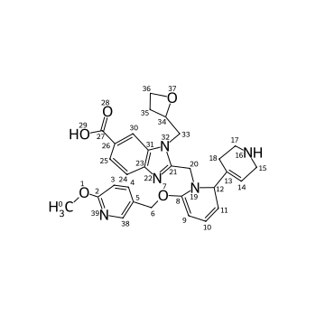 COc1ccc(COC2=CC=CC(C3=CCNCC3)N2Cc2nc3ccc(C(=O)O)cc3n2CC2CCO2)cn1